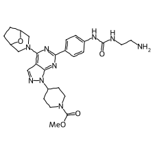 COC(=O)N1CCC(n2ncc3c(N4CC5CCC(C4)O5)nc(-c4ccc(NC(=O)NCCN)cc4)nc32)CC1